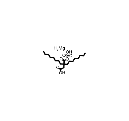 CCCCCCCCC(CCCCCCCC)(CC(=O)O)C(=O)OS(=O)(=O)O.[MgH2]